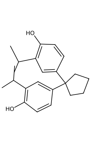 CC(C)c1cc(C2(c3ccc(O)c(C(C)C)c3)CCCC2)ccc1O